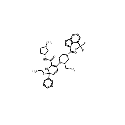 CCOC1(c2cccnc2)C=CC(N2CCN(C(=O)n3ccc4cccc(C(F)(F)F)c43)C[C@H]2CC)=C(C(=O)N[C@@H]2CCN(C)C2)N1